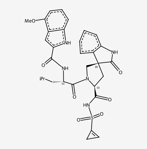 COc1cccc2[nH]c(C(=O)N[C@@H](CC(C)C)C(=O)N3C[C@]4(C[C@H]3C(=O)NS(=O)(=O)C3=CC3)C(=O)Nc3ccccc34)cc12